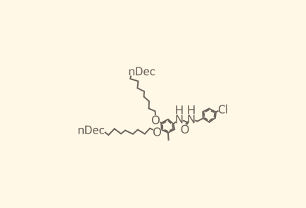 CCCCCCCCCCCCCCCCCCOc1cc(NC(=O)NCc2ccc(Cl)cc2)cc(C)c1OCCCCCCCCCCCCCCCCCC